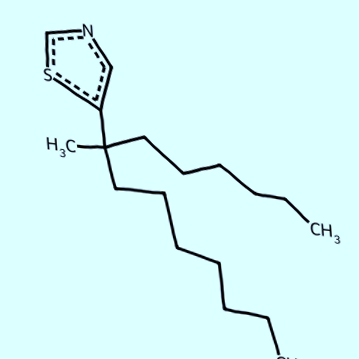 CCCCCCCC(C)(CCCCCC)c1cncs1